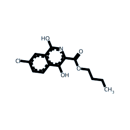 CCCCOC(=O)c1nc(O)c2cc(Cl)ccc2c1O